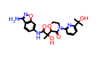 CC(C)(O)c1cccc(N2CCOC(C(C)(O)C(=O)Nc3ccc4c(N)noc4c3)C2=O)n1